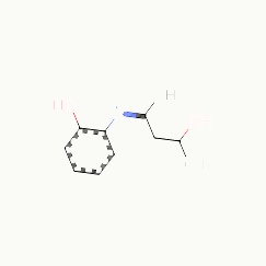 CC(CC(C)O)=Nc1ccccc1O